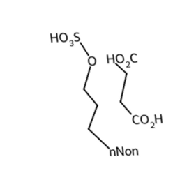 CCCCCCCCCCCCOS(=O)(=O)O.O=C(O)CCC(=O)O